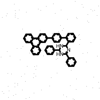 c1ccc(C2=NC(c3ccccc3-c3ccc(-c4ccc5c6ccccc6c6ccccc6c5c4)cc3)NC(c3ccccc3)N2)cc1